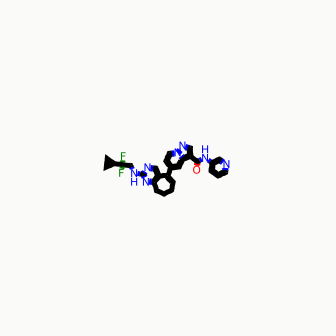 O=C(Nc1cccnc1)c1cnn2ccc(C3=CCCCc4nc(NCC(F)(F)C5CC5)ncc43)cc12